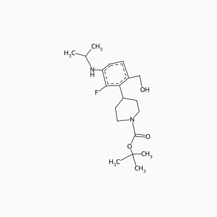 CC(C)Nc1ccc(CO)c(C2CCN(C(=O)OC(C)(C)C)CC2)c1F